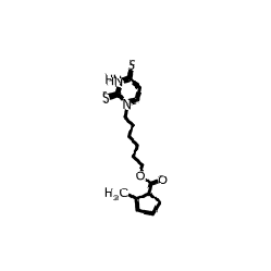 CC1CCCC1C(=O)OCCCCCCn1ccc(=S)[nH]c1=S